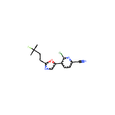 CC(C)(F)CCc1ncc(-c2ccc(C#N)nc2Cl)o1